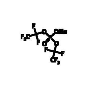 COP(=O)(OC(F)(F)C(F)(F)F)OC(F)(F)C(F)(F)F